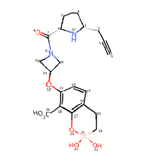 C#CC[C@H]1CC[C@@H](C(=O)N2CC(Oc3ccc4c(c3C(=O)O)O[B-](O)(O)CC4)C2)N1